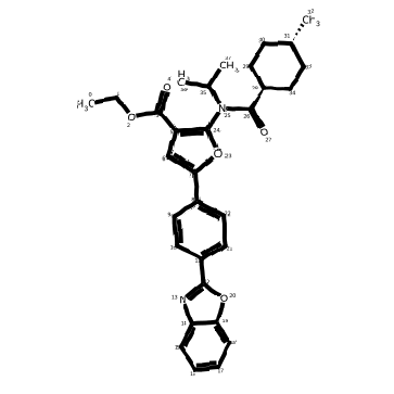 CCOC(=O)c1cc(-c2ccc(-c3nc4ccccc4o3)cc2)oc1N(C(=O)[C@H]1CC[C@H](C)CC1)C(C)C